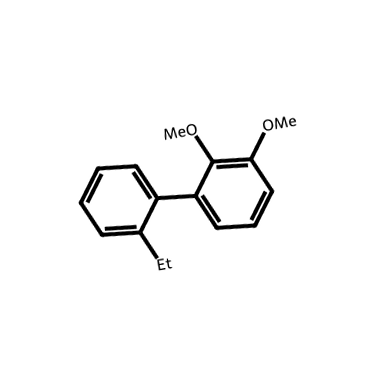 CCc1ccccc1-c1cccc(OC)c1OC